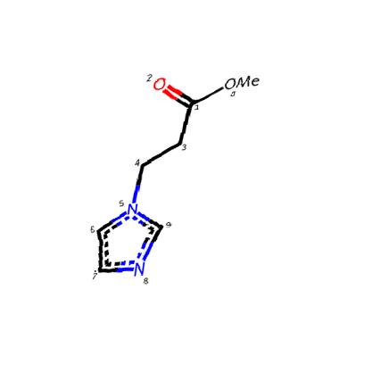 COC(=O)CCn1c[c]nc1